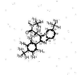 [2H]c1c([2H])c(C([2H])([2H])[2H])c([2H])c([2H])c1-c1nc2ccc(C([2H])([2H])[2H])cn2c1C([2H])([2H])C(=O)N(C)C([2H])([2H])[2H]